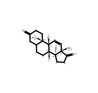 C[C@]12CCC(=O)CC1CC[C@@H]1[C@H]2C=C[C@]2(C)C(=O)CC[C@@H]12